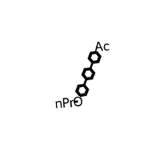 CCCOc1ccc(-c2ccc(-c3ccc(C(C)=O)cc3)cc2)cc1